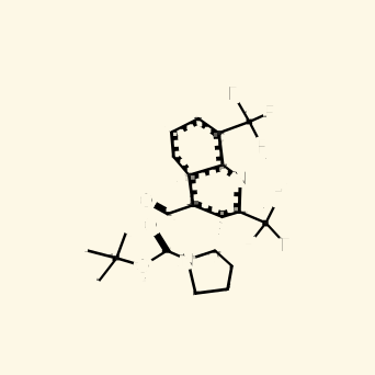 CC(C)(C)OC(=O)N1CCC[C@H]1c1c(C(F)(F)F)nc2c(C(F)(F)F)cccc2c1C=O